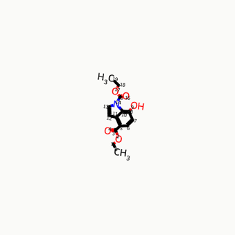 CCOC(=O)c1ccc(O)c2c1ccn2C(=O)OCC